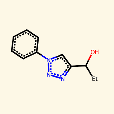 CCC(O)c1cn(-c2ccccc2)nn1